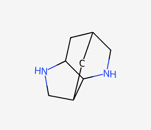 C1NC2C3CNC2CC1C3